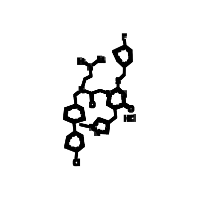 CCN(CC)CCN(Cc1ccc(-c2ccc(Cl)cc2)cc1)C(=O)Cn1cc(Cc2cnn(C)c2)c(=O)nc1SCc1ccc(F)cc1.Cl